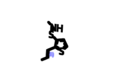 C/C=C/c1sccc1SNC